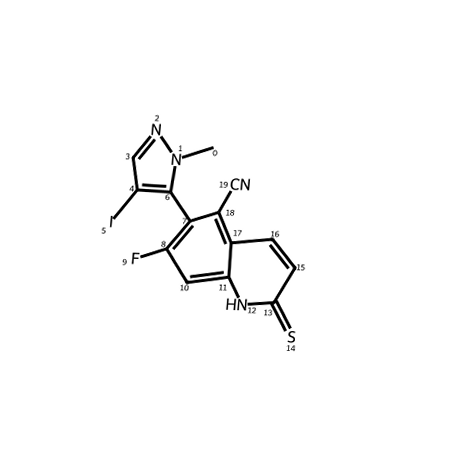 Cn1ncc(I)c1-c1c(F)cc2[nH]c(=S)ccc2c1C#N